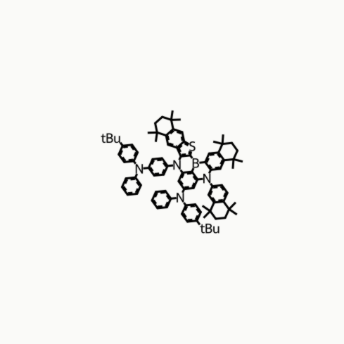 CC(C)(C)c1ccc(N(c2ccccc2)c2ccc(N3c4cc(N(c5ccccc5)c5ccc(C(C)(C)C)cc5)cc5c4B(c4cc6c(cc4N5c4ccc5c(c4)C(C)(C)CCC5(C)C)C(C)(C)CCC6(C)C)c4sc5cc6c(cc5c43)C(C)(C)CCC6(C)C)cc2)cc1